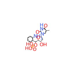 Cc1cn([C@H]2C[C@H](O)[C@@H](C(OP(=O)(O)O)c3ccccc3N)O2)c(=O)[nH]c1=O